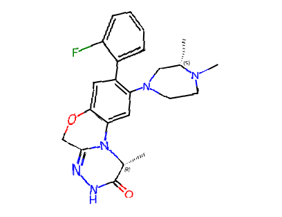 C[C@@H]1C(=O)NN=C2COc3cc(-c4ccccc4F)c(N4CCN(C)[C@@H](C)C4)cc3N21